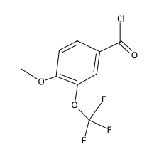 COc1ccc(C(=O)Cl)cc1OC(F)(F)F